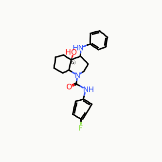 O=C(Nc1ccc(F)cc1)N1CCC(Nc2ccccc2)[C@@]2(O)CCCCC12